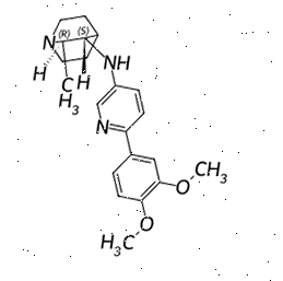 COc1ccc(-c2ccc(N[C@H]3C4CCN(CC4)[C@@H]3C)cn2)cc1OC